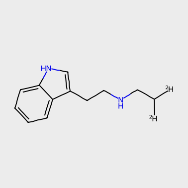 [2H]C([2H])CNCCc1c[nH]c2ccccc12